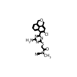 CN(C#N)C(=O)CSc1nc(N)nc(-c2c(Cl)cc3c4c(cccc24)COC3)n1